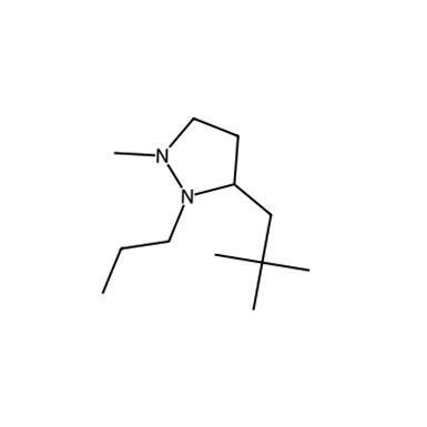 CCCN1C(CC(C)(C)C)CCN1C